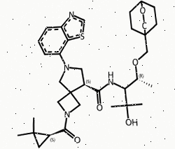 C[C@@H](OCC12CCC(CC1)OC2)C(NC(=O)[C@@H]1CN(c2cccc3ncsc23)CC12CN(C(=O)[C@H]1CC1(C)C)C2)C(C)(C)O